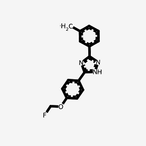 [CH2]c1cccc(-c2n[nH]c(-c3ccc(OCF)cc3)n2)c1